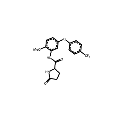 COc1ccc(Oc2ccc(C(F)(F)F)cc2)cc1NC(=O)C1CCC(=O)N1